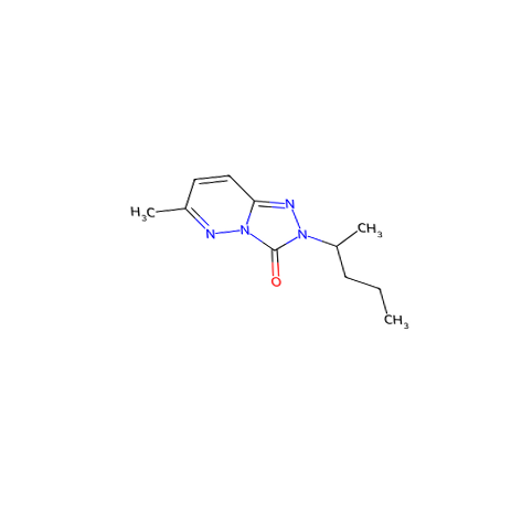 CCCC(C)n1nc2ccc(C)nn2c1=O